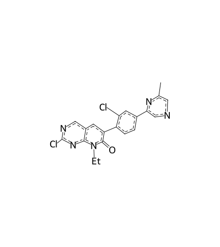 CCn1c(=O)c(-c2ccc(-c3cncc(C)n3)cc2Cl)cc2cnc(Cl)nc21